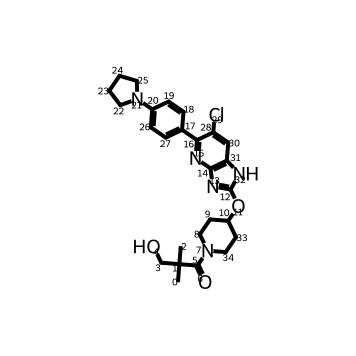 CC(C)(CO)C(=O)N1CCC(Oc2nc3nc(-c4ccc(N5CCCC5)cc4)c(Cl)cc3[nH]2)CC1